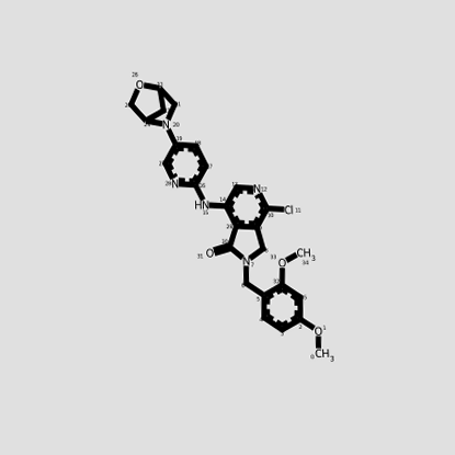 COc1ccc(CN2Cc3c(Cl)ncc(Nc4ccc(N5CC6CC5CO6)cn4)c3C2=O)c(OC)c1